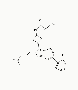 CN(C)CCCn1nc2cc(-c3ccccc3F)ccc2c1N1CC(NC(=O)OC(C)(C)C)C1